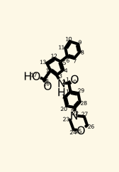 O=C(Nc1cc(-c2ccccc2)ccc1C(=O)O)c1ccc(N2CCOCC2)cc1